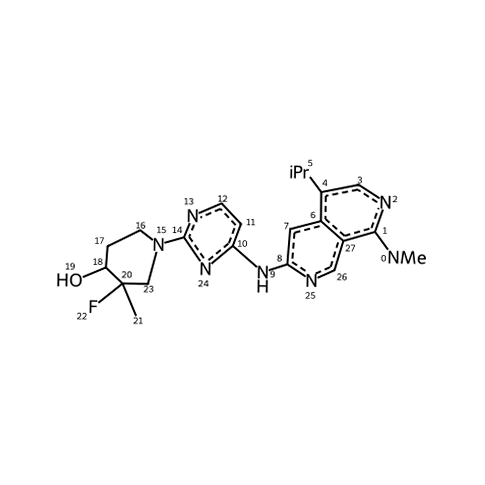 CNc1ncc(C(C)C)c2cc(Nc3ccnc(N4CCC(O)C(C)(F)C4)n3)ncc12